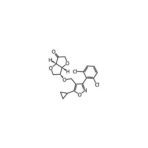 O=C1CO[C@@H]2[C@@H](OCc3c(-c4c(Cl)cccc4Cl)noc3C3CC3)CO[C@H]12